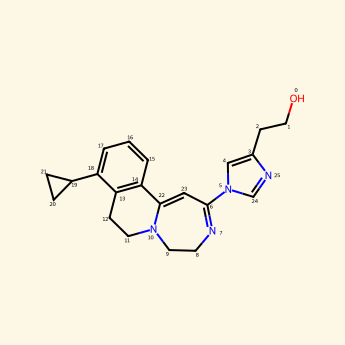 OCCc1cn(C2=NCCN3CCc4c(cccc4C4CC4)C3=C2)cn1